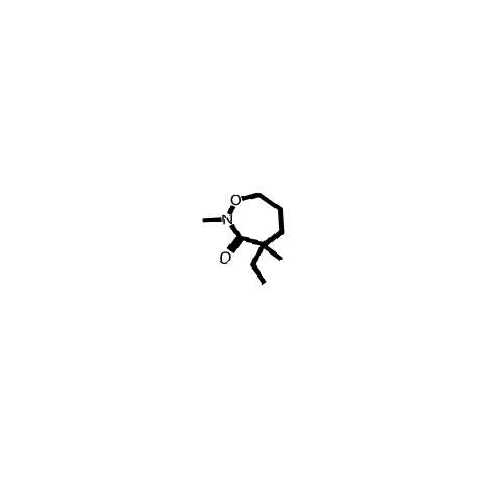 CCC1(C)CCCON(C)C1=O